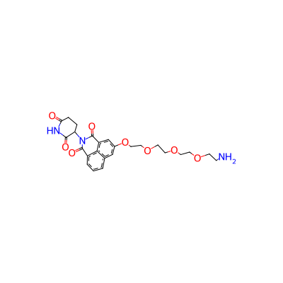 NCCOCCOCCOCCOc1cc2c3c(cccc3c1)C(=O)N(C1CCC(=O)NC1=O)C2=O